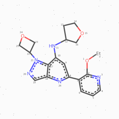 CCOc1ncccc1-c1cc(NC2CCOC2)c2c(cnn2C2COC2)n1